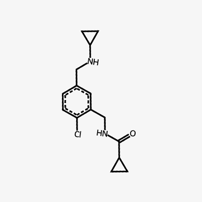 O=C(NCc1cc(CNC2CC2)ccc1Cl)C1CC1